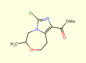 COC(=O)c1nc(Cl)n2c1CCOC(C)C2